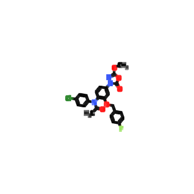 COc1nn(-c2ccc(N(C(C)=O)c3ccc(Cl)cc3)c(OCc3ccc(F)cc3)c2)c(=O)o1